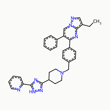 CCc1cnn2cc(-c3ccccc3)c(-c3ccc(CN4CCC(c5n[nH]c(-c6ccccn6)n5)CC4)cc3)nc12